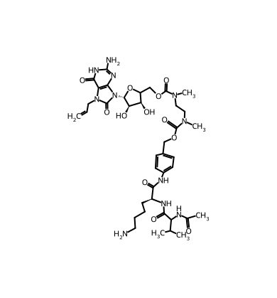 C=CCn1c(=O)n([C@@H]2OC(COC(=O)N(C)CCN(C)C(=O)OCc3ccc(NC(=O)[C@H](CCCCN)NC(=O)C(NC(C)=O)C(C)C)cc3)[C@@H](O)[C@H]2O)c2nc(N)[nH]c(=O)c21